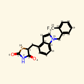 O=C1NC(=O)C(Cc2cccc3c2ccn3Cc2ccccc2C(F)(F)F)S1